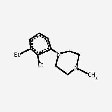 CCc1cccc(N2CCN(C)CC2)c1CC